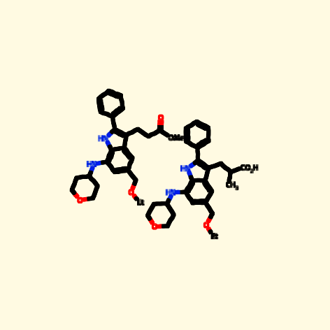 CCOCc1cc(NC2CCOCC2)c2[nH]c(-c3ccccc3)c(CC(C)C(=O)O)c2c1.CCOCc1cc(NC2CCOCC2)c2[nH]c(-c3ccccc3)c(CCC(=O)OC)c2c1